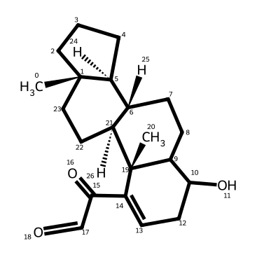 C[C@@]12CCC[C@H]1[C@@H]1CCC3C(O)CC=C(C(=O)C=O)[C@]3(C)[C@H]1CC2